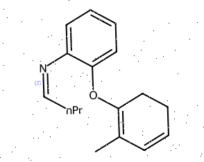 CCC/C=N\c1ccccc1OC1=C(C)C=CCC1